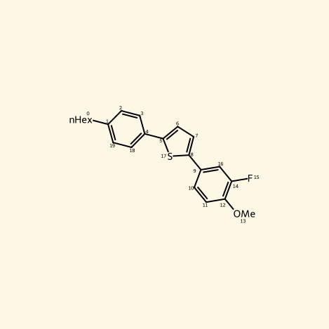 CCCCCCc1ccc(-c2ccc(-c3ccc(OC)c(F)c3)s2)cc1